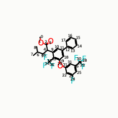 COC(=O)C(CC(C)C)c1cc(-c2ccccc2)cc(Oc2cc(F)cc(C(F)(F)F)c2)c1C(F)(F)F